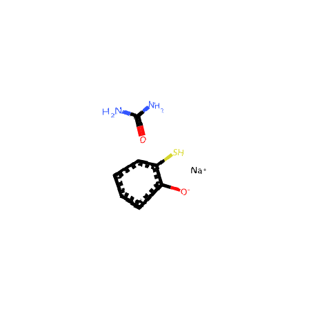 NC(N)=O.[Na+].[O-]c1ccccc1S